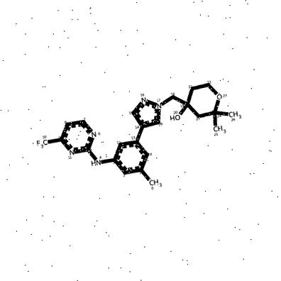 Cc1cc(Nc2nccc(C(F)(F)F)n2)cc(-c2cnn(CC3(O)CCOC(C)(C)C3)c2)c1